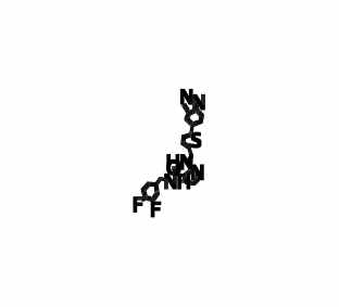 O=C(NCc1ccc(F)c(F)c1)c1cccnc1NCc1ccc(-c2ccc3ncncc3c2)s1